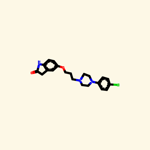 O=C1Cc2cc(OCCCN3CCN(c4ccc(Cl)cc4)CC3)ccc2N1